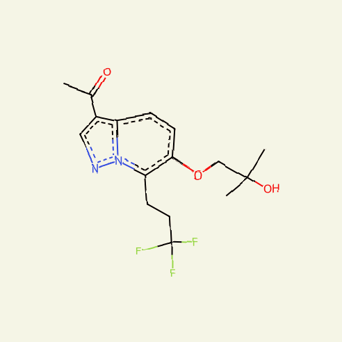 CC(=O)c1cnn2c(CCC(F)(F)F)c(OCC(C)(C)O)ccc12